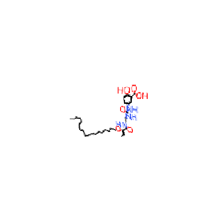 CC/C=C\C/C=C\C/C=C\CCCCCCCCOC(CC)C(=O)NCCNC(=O)Nc1ccc(O)c(C(=O)O)c1